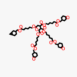 O=C(CCCCCOC(=O)CC(C(=O)OCCCCCC(=O)OCC1CCC2OC2C1)C(CC(=O)OCCCCCC(=O)OCC1CCC2OC2C1)C(=O)OCCCCCC(=O)OCC1CCC2OC2C1)OCC1CCC2CC2C1